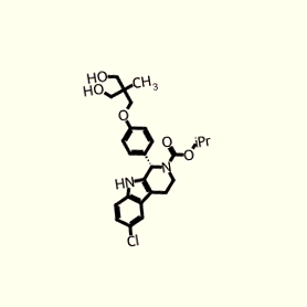 CC(C)OC(=O)N1CCc2c([nH]c3ccc(Cl)cc23)[C@@H]1c1ccc(OCC(C)(CO)CO)cc1